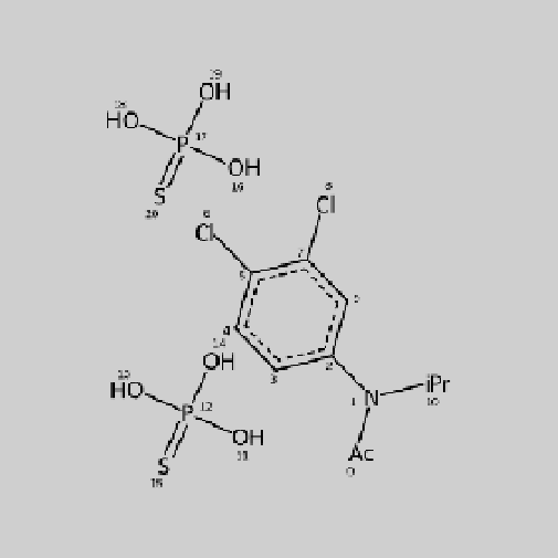 CC(=O)N(c1ccc(Cl)c(Cl)c1)C(C)C.OP(O)(O)=S.OP(O)(O)=S